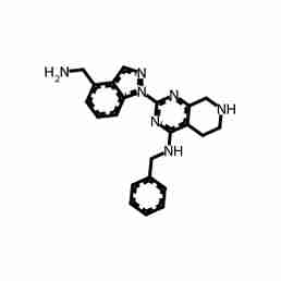 NCc1cccc2c1cnn2-c1nc2c(c(NCc3ccccc3)n1)CCNC2